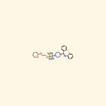 [2H]C([2H])(OCCOC1CCCCO1)C([2H])([2H])N1CCN(C2=Nc3ccccc3Sc3ccccc32)CC1